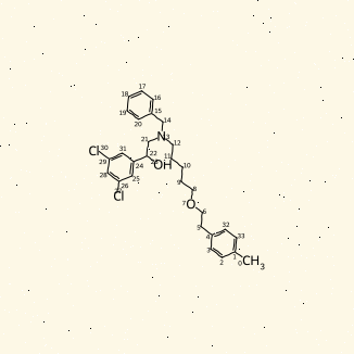 Cc1ccc(CCOCCCCCN(Cc2ccccc2)CC(O)c2cc(Cl)cc(Cl)c2)cc1